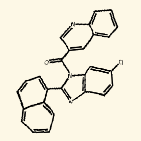 O=C(c1cnc2ccccc2c1)n1c(-c2cccc3ccccc23)nc2ccc(Cl)cc21